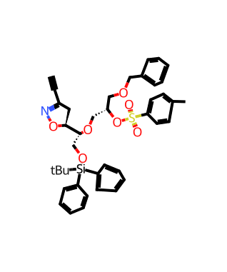 C#CC1=NO[C@H]([C@@H](CO[Si](c2ccccc2)(c2ccccc2)C(C)(C)C)OC[C@H](COCc2ccccc2)OS(=O)(=O)c2ccc(C)cc2)C1